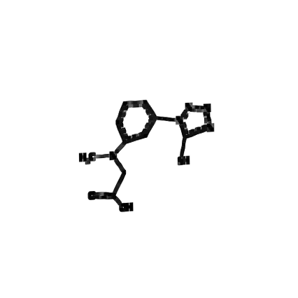 CN(CC(=O)O)c1cccc(-n2nnnc2S)c1